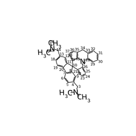 CN(C)Cc1ccc2c(c1)C1(c3cc(CN(C)C)ccc3-2)c2ccccc2N2c3ccccc3Cc3cccc1c32